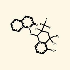 CC1(C)CC(O)(C(F)(F)F)C(Nn2c(=O)ccc3ccccc32)c2cccc(O)c21